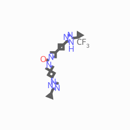 O=C(N1CC(C23CC(c4nnc(C5(C(F)(F)F)CC5)[nH]4)(C2)C3)C1)N1CC2(CC(n3cnc(C4CC4)n3)C2)C1